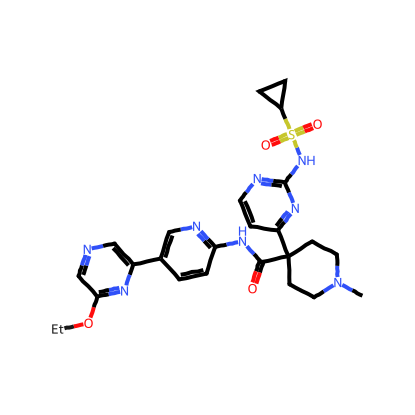 CCOc1cncc(-c2ccc(NC(=O)C3(c4ccnc(NS(=O)(=O)C5CC5)n4)CCN(C)CC3)nc2)n1